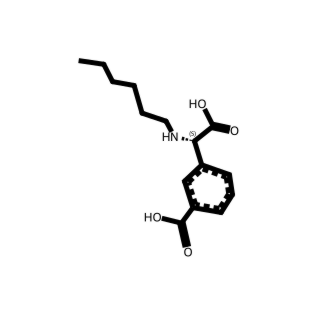 CCCCCCN[C@H](C(=O)O)c1cccc(C(=O)O)c1